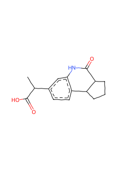 CC(C(=O)O)c1ccc2c(c1)NC(=O)C1CCCC21